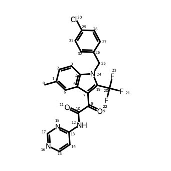 Cc1ccc2c(c1)c(C(=O)C(=O)Nc1ccncn1)c(C(F)(F)F)n2Cc1ccc(Cl)cc1